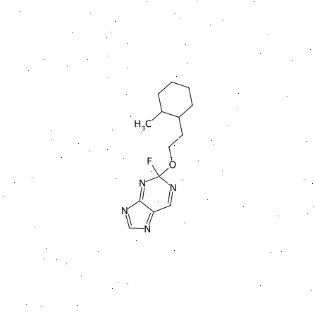 CC1CCCCC1CCOC1(F)N=CC2=NC=NC2=N1